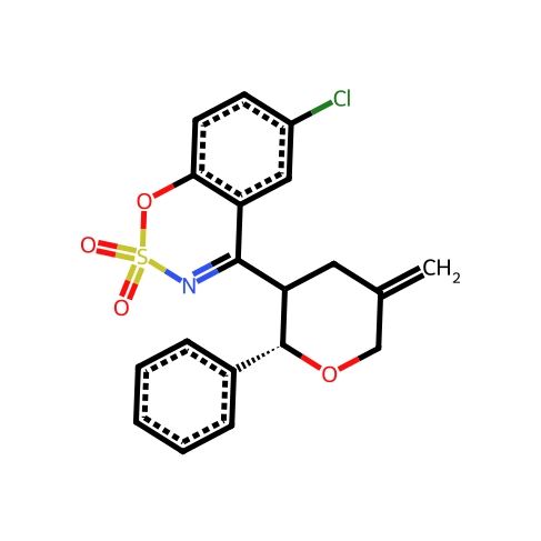 C=C1CO[C@H](c2ccccc2)C(C2=NS(=O)(=O)Oc3ccc(Cl)cc32)C1